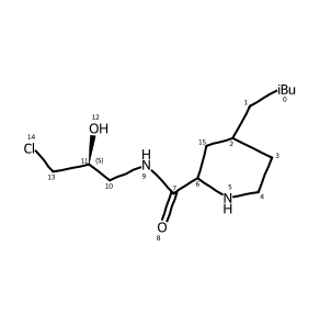 CCC(C)CC1CCNC(C(=O)NC[C@H](O)CCl)C1